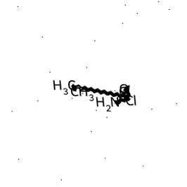 CC(C)CCCCCCCCCCCCCCC(=O)C(Cl)(CCCN)CC1CO1